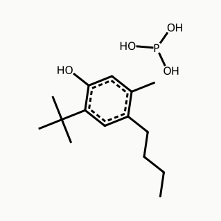 CCCCc1cc(C(C)(C)C)c(O)cc1C.OP(O)O